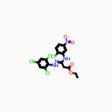 CCOC(=O)CC(=NNc1c(Cl)cc(Cl)cc1Cl)Nc1cc([N+](=O)[O-])ccc1Cl